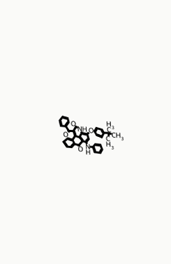 CC(C)(C)c1ccc(Oc2cc(Nc3ccccc3)c3c4c(c(C(=O)c5ccccc5)c(=O)[nH]c24)-c2ccccc2C3=O)cc1